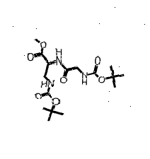 COC(=O)C(CNC(=O)OC(C)(C)C)NC(=O)CNC(=O)OC(C)(C)C